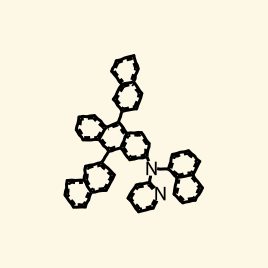 c1ccc(N(c2ccc3c(-c4ccc5ccccc5c4)c4ccccc4c(-c4ccc5ccccc5c4)c3c2)c2cccc3ccccc23)nc1